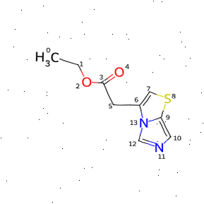 CCOC(=O)Cc1csc2cncn12